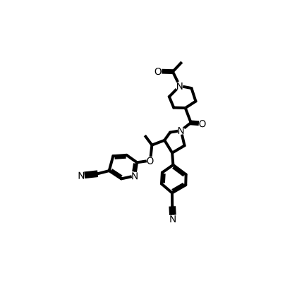 CC(=O)N1CCC(C(=O)N2CC(c3ccc(C#N)cc3)C(C(C)Oc3ccc(C#N)cn3)C2)CC1